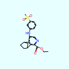 CCOC(=O)c1ncc(Nc2cccc(S(C)(=O)=O)c2)c2c1C1CCC2C1